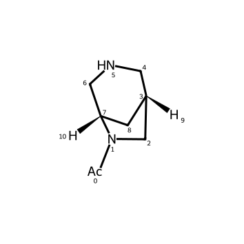 CC(=O)N1C[C@H]2CNC[C@@H]1C2